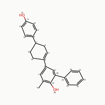 Cc1cc(C2=CCC(c3ccc(O)cc3)CC2)cc(-c2ccccc2)c1O